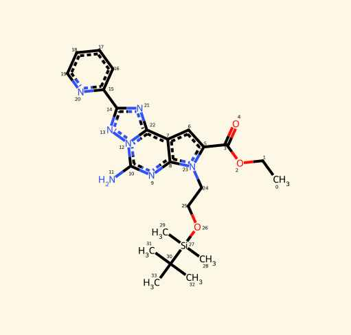 CCOC(=O)c1cc2c(nc(N)n3nc(-c4ccccn4)nc23)n1CCO[Si](C)(C)C(C)(C)C